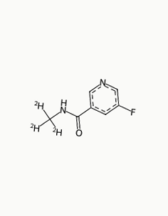 [2H]C([2H])([2H])NC(=O)c1cncc(F)c1